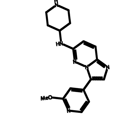 COc1cc(-c2cnc3ccc(NC4CCNCC4)nn23)ccn1